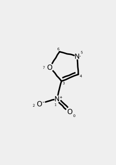 O=[N+]([O-])C1=C[N]CO1